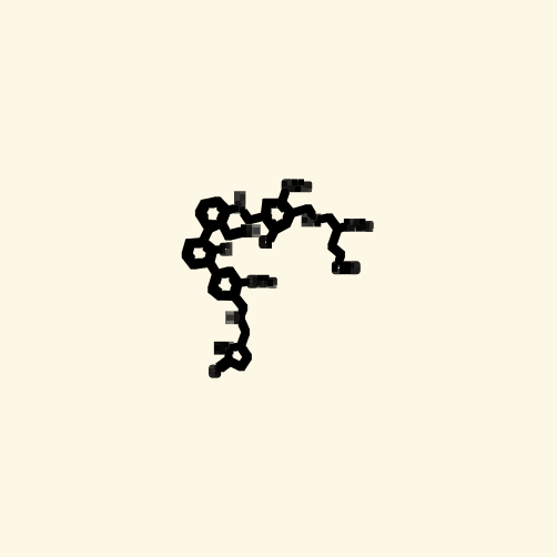 CNC(CCC=O)CNCc1cc(Cl)c(CNc2cccc(-c3cccc(-c4ccc(CNCC5CCC(=O)N5)c(OC)c4)c3Cl)c2C=N)cc1OC